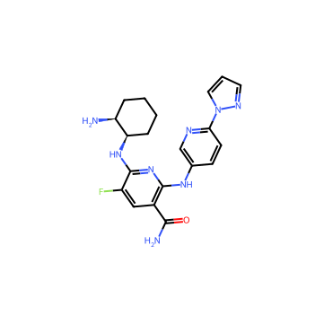 NC(=O)c1cc(F)c(N[C@@H]2CCCC[C@@H]2N)nc1Nc1ccc(-n2cccn2)nc1